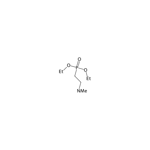 CCOP(=O)(CCNC)OCC